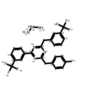 Fc1ccc(Cc2nc(Cc3cccc(C(F)(F)F)c3)nc(-c3cccc(C(F)(F)F)c3)n2)cc1.NNN